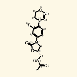 CC(=O)NC[C@H]1CN(c2ccc(N3C=NOCC3)c(F)c2)C(=O)O1